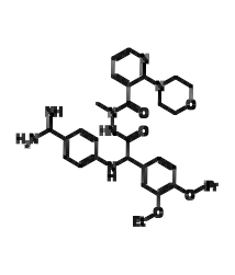 CCOc1cc(C(Nc2ccc(C(=N)N)cc2)C(=O)NN(C)C(=O)c2cccnc2N2CCOCC2)ccc1OC(C)C